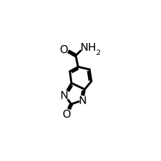 NC(=O)c1ccc2c(c1)=NC(=O)N=2